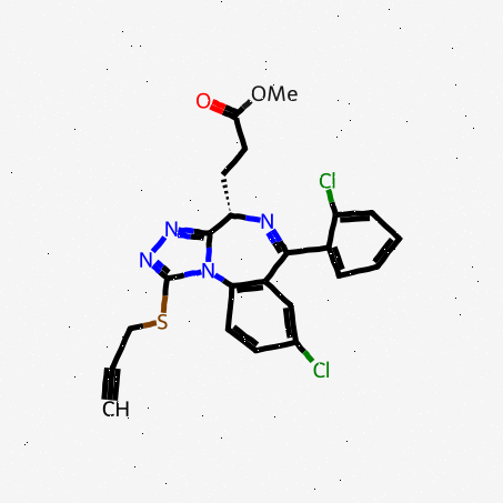 C#CCSc1nnc2n1-c1ccc(Cl)cc1C(c1ccccc1Cl)=N[C@H]2CCC(=O)OC